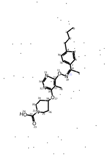 CCCCc1ccc(/C(C)=N\Oc2ncnc(OC3CCN(C(=O)O)CC3)c2C)cc1